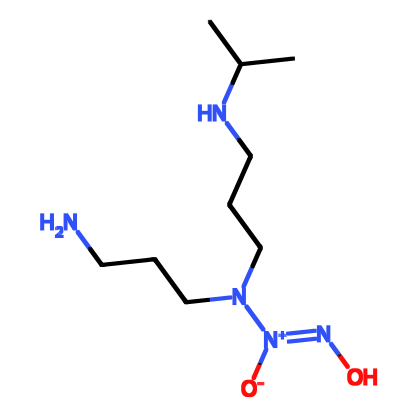 CC(C)NCCCN(CCCN)/[N+]([O-])=N/O